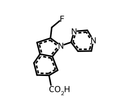 O=C(O)c1ccc2cc(CF)n(-c3ccncn3)c2c1